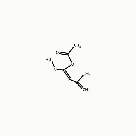 C=C(C)C=C(OC)OC(C)=O